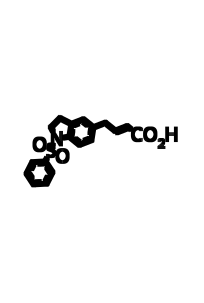 O=C(O)C=CCc1ccc2c(c1)CCN2S(=O)(=O)c1ccccc1